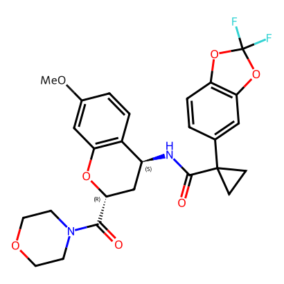 COc1ccc2c(c1)O[C@@H](C(=O)N1CCOCC1)C[C@@H]2NC(=O)C1(c2ccc3c(c2)OC(F)(F)O3)CC1